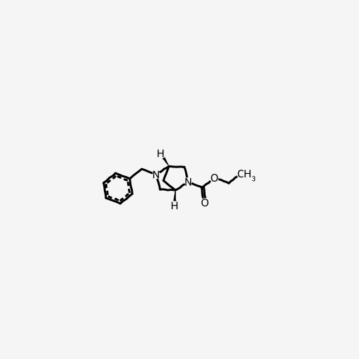 CCOC(=O)N1C[C@@H]2C[C@H]1CN2Cc1ccccc1